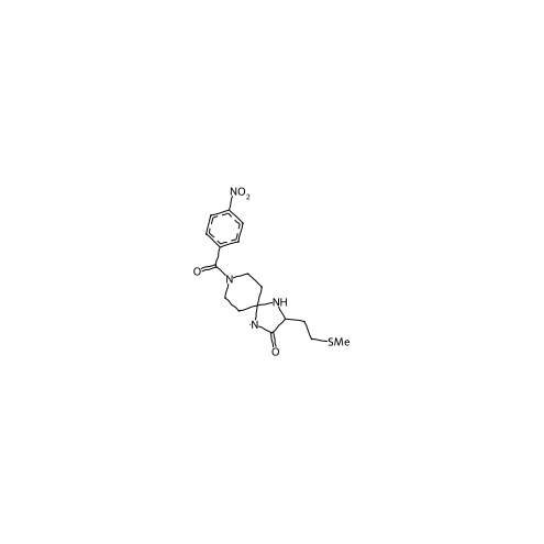 CSCCC1NC2(CCN(C(=O)c3ccc([N+](=O)[O-])cc3)CC2)[N]C1=O